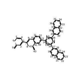 C=C/C=C(\C=C/C)C(/C)=C/c1ccc(-c2nc(-c3ccc4ccccc4c3)nc(-c3ccc4ccccc4c3)n2)cc1C=C